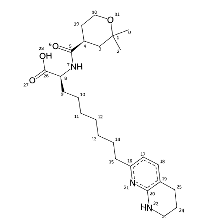 CC1(C)C[C@@H](C(=O)N[C@@H](CCCCCCCc2ccc3c(n2)NCCC3)C(=O)O)CCO1